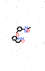 Cc1nc(-c2cccc(COc3cccc4ccc(=O)[nH]c34)c2)no1